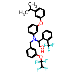 CC(C)c1cccc(Oc2cccc(N(Cc3cccc(OC(F)(F)C(F)F)c3)C(CO)c3ccccc3C(F)(F)F)c2)c1